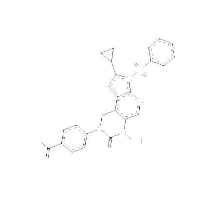 CN1C(=O)N(c2ccc(C(=O)O)cc2)Cc2c1cnc1c2cc(C2CC2)n1S(=O)(=O)c1ccccc1